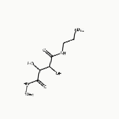 CCCCCCCCCCCCNC(=O)C(O)C(O)C(=O)NCCCCCCCCCC